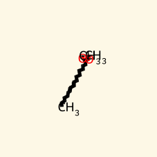 CCCCCCC=CC=CCCCCCCCC(OC)OC